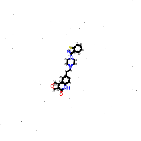 O=c1[nH]c2ccc(CCN3CCN(c4nsc5ccccc45)CC3)cc2c2c1COC2